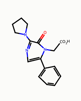 O=C(O)Cn1c(-c2ccccc2)cnc(N2CCCC2)c1=O